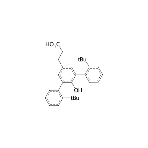 CC(C)(C)c1ccccc1-c1cc(CCC(=O)O)cc(-c2ccccc2C(C)(C)C)c1O